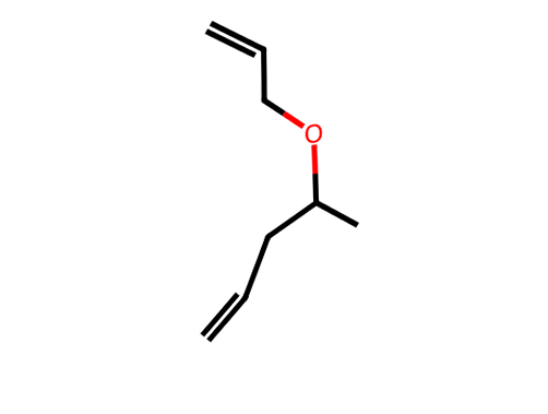 C=CCOC(C)CC=C